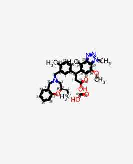 CC[C@@H]1CN(Cc2cc(C(CC(=O)O)c3cc(OC)c4c(nnn4C)c3C)ccc2C)Cc2ccccc2O1.O=CO